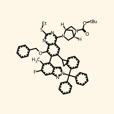 CCSc1nc(N2C[C@@H]3C[C@H]2CN3C(=O)OC(C)(C)C)c2cc(C3CC3)c(-c3c(C)c(F)cc4nn(C(c5ccccc5)(c5ccccc5)c5ccccc5)cc34)c(OCc3ccccc3)c2n1